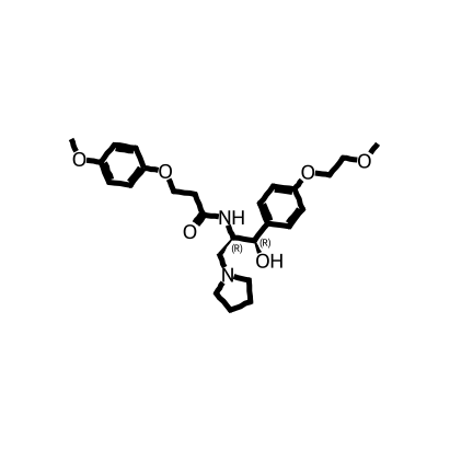 COCCOc1ccc([C@@H](O)[C@@H](CN2CCCC2)NC(=O)CCOc2ccc(OC)cc2)cc1